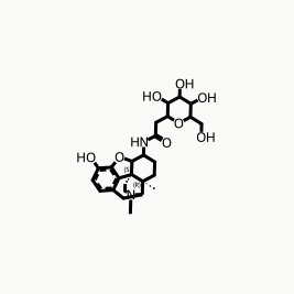 CN1CC[C@]23c4c5ccc(O)c4OC2C(NC(=O)CC2OC(CO)C(O)C(O)C2O)CC[C@@]3(C)C1C5